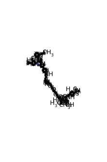 C=Cc1cc(/C=C/c2cc(-c3ccc(NCCCn4cc(COCCOCCOCCC(=O)N[C@H](C(=O)N5C[C@H](O)C[C@H]5C(=O)NCc5ccc(-c6scnc6C)cc5)C(C)(C)C)nn4)nc3)cnc2-c2cnc(-c3ccccc3OCCC)c(C)c2)ccc1C1CC1